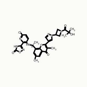 Cc1cc([C@@H](C)Nc2ccc(Cl)nc2-c2noc(=O)[nH]2)c2oc(-c3cnn(C4CN(C(=O)C(C)(C)O)C4)c3)c(C)c(=O)c2c1